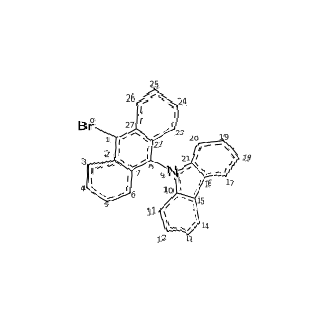 Brc1c2ccccc2c(-n2c3ccccc3c3ccccc32)c2ccccc12